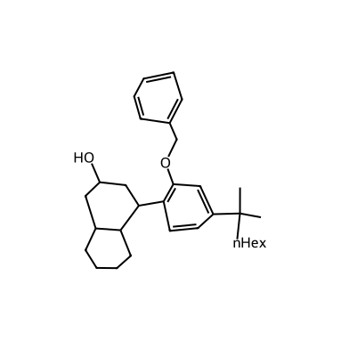 CCCCCCC(C)(C)c1ccc(C2CC(O)CC3CCCCC32)c(OCc2ccccc2)c1